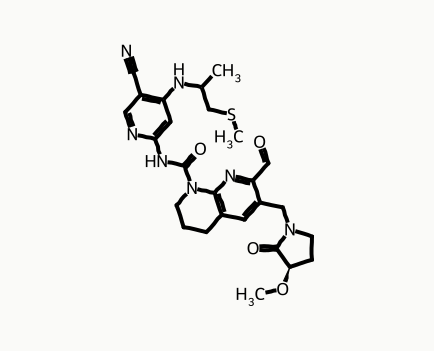 CO[C@@H]1CCN(Cc2cc3c(nc2C=O)N(C(=O)Nc2cc(NC(C)CSC)c(C#N)cn2)CCC3)C1=O